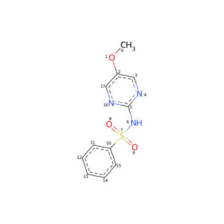 COc1cnc(NS(=O)(=O)c2ccccc2)nc1